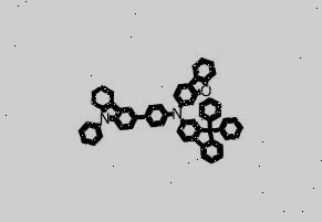 C1=Cc2c(n(-c3ccccc3)c3ccc(-c4ccc(N(c5ccc6c(c5)C(c5ccccc5)(c5ccccc5)c5ccccc5-6)c5ccc6c(c5)oc5ccccc56)cc4)cc23)CC1